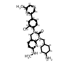 CNc1ccc2c(n1)N(CC1CCC(N)CC1)C(=O)N(c1ccc(-c3cncc(C)n3)cc1Cl)C2